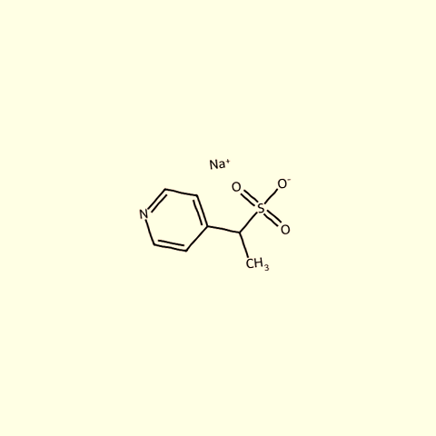 CC(c1ccncc1)S(=O)(=O)[O-].[Na+]